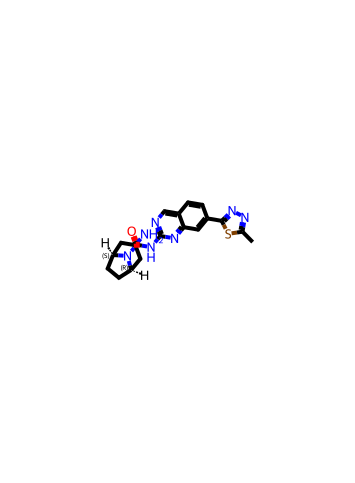 Cc1nnc(-c2ccc3cnc(NC(=O)N4[C@@H]5CC[C@H]4CC(N)C5)nc3c2)s1